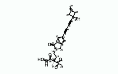 CCC1(C#CC#Cc2cc3n(c2)C(=O)N(CC[C@](C)(C(=O)NO)S(C)(=O)=O)C3)CN(C)C1